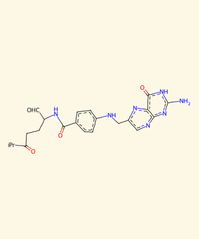 CC(C)C(=O)CCC(C=O)NC(=O)c1ccc(NCc2cnc3nc(N)[nH]c(=O)c3n2)cc1